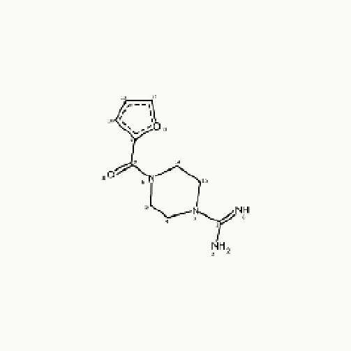 N=C(N)N1CCN(C(=O)c2ccco2)CC1